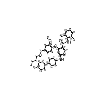 CCCCOCc1ccc(Oc2nc(Nc3ccc(N4CCN(C)CC4)cc3)ncc2C(=O)Nc2c(C)cccc2C)c(OC)c1